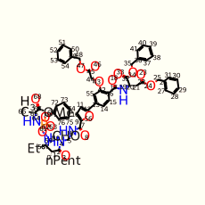 CCCCC[C@@H](C(=O)NCNC(=O)c1ccc(-c2ccc(C(=O)N[C@@H](CC(=O)OCc3ccccc3)C(=O)OCc3ccccc3)c(OCC(=O)OCc3ccccc3)c2)o1)[C@@H](CC)N(C=O)OP(=O)(N[C@@H](C)C(=O)OC)Oc1ccccc1